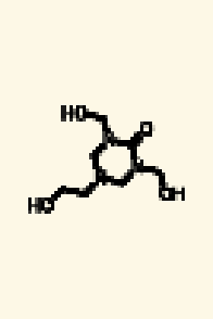 O=C1N(CO)CN(CCO)CN1CO